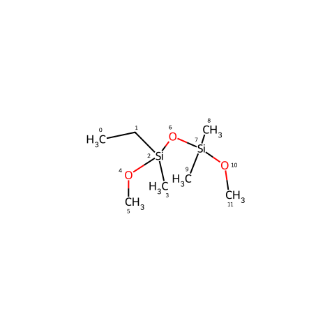 CC[Si](C)(OC)O[Si](C)(C)OC